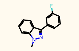 Cn1nc(-c2cccc(F)c2)c2c[c]ccc21